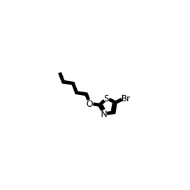 CCCCCOc1ncc(Br)s1